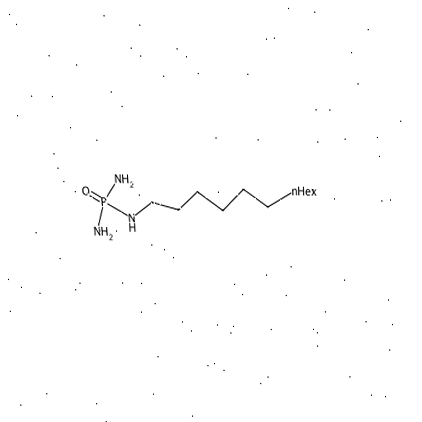 CCCCCCCCCCCCNP(N)(N)=O